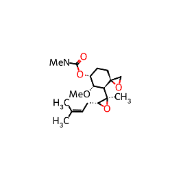 CNC(=O)O[C@@H]1CC[C@]2(CO2)[C@@H]([C@@]2(C)O[C@@H]2CC=C(C)C)[C@@H]1OC